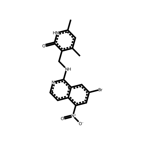 Cc1cc(C)c(CNc2nccc3c([N+](=O)[O-])cc(Br)cc23)c(=O)[nH]1